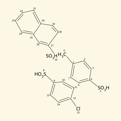 Cc1ccc(S(=O)(=O)O)cc1.O=S(=O)(O)c1ccc(Cl)cc1.O=S(=O)(O)c1ccc2ccccc2c1